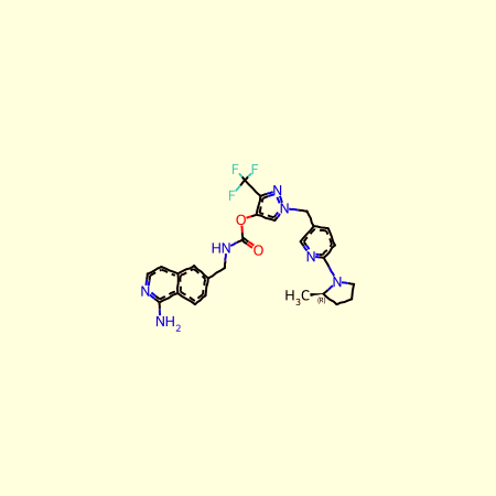 C[C@@H]1CCCN1c1ccc(Cn2cc(OC(=O)NCc3ccc4c(N)nccc4c3)c(C(F)(F)F)n2)cn1